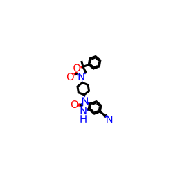 CC1(c2ccccc2)CN([C@H]2CC[C@H](n3c(=O)[nH]c4cc(C#N)ccc43)CC2)C(=O)O1